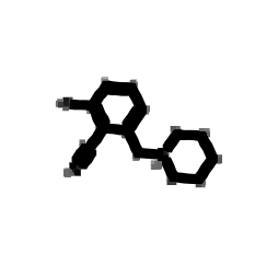 N#Cc1c(F)cccc1CN1CCCCC1